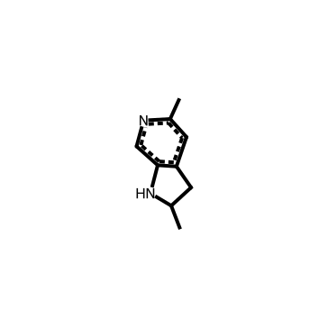 Cc1cc2c(cn1)NC(C)C2